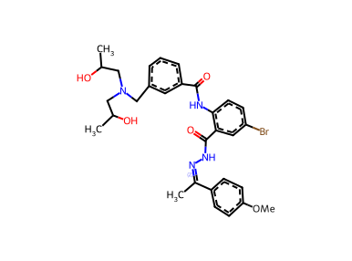 COc1ccc(/C(C)=N\NC(=O)c2cc(Br)ccc2NC(=O)c2cccc(CN(CC(C)O)CC(C)O)c2)cc1